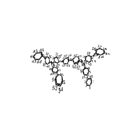 c1ccc(-c2ccc(N(c3ccc(-c4ccccc4)cc3)c3ccc(-c4ccc(-c5cccc(N(c6ccc(-c7ccccc7)cc6)c6ccc(-c7ccccc7)cc6)c5)cc4)cc3)cc2)cc1